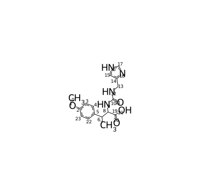 COc1ccc(C(C)C(NC(=O)NCc2c[nH]cn2)C(=O)O)cc1